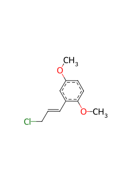 COc1ccc(OC)c(C=CCCl)c1